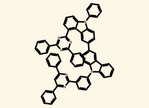 c1ccc(-c2cc(-c3ccccc3)nc(-c3cccc(-n4c5ccccc5c5cc(-c6ccc7c(c6)c6c(-c8nc(-c9ccccc9)nc(-c9ccccc9)n8)cccc6n7-c6ccccc6)ccc54)c3)n2)cc1